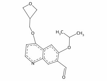 CC(C)Oc1cc2c(OCC3COC3)ccnc2cc1C=O